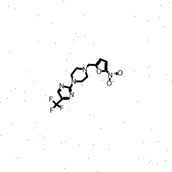 O=[N+]([O-])c1ccc(CN2CCN(c3ncc(C(F)(F)F)cn3)CC2)o1